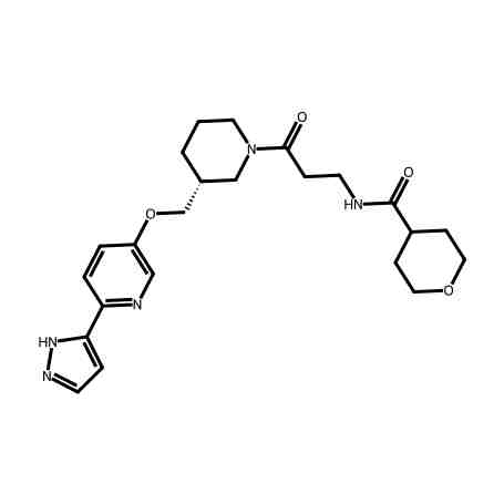 O=C(NCCC(=O)N1CCC[C@@H](COc2ccc(-c3ccn[nH]3)nc2)C1)C1CCOCC1